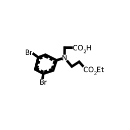 CCOC(=O)CCN(CC(=O)O)c1cc(Br)cc(Br)c1